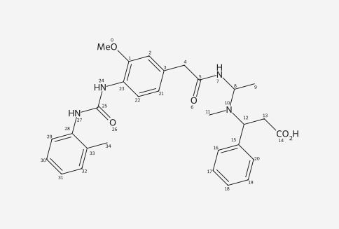 COc1cc(CC(=O)NC(C)N(C)C(CC(=O)O)c2ccccc2)ccc1NC(=O)Nc1ccccc1C